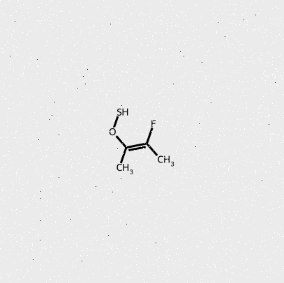 C/C(F)=C(\C)OS